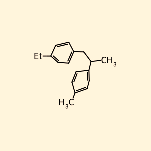 CCc1ccc(CC(C)c2ccc(C)cc2)cc1